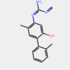 C=N/C(N)=N\c1cc(O)c(-c2ccccc2C)cc1C